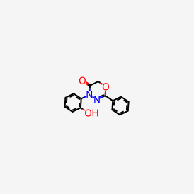 O=C1COC(c2ccccc2)=NN1c1ccccc1O